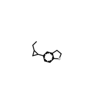 CCC1CC1c1ccc2c(c1)CCO2